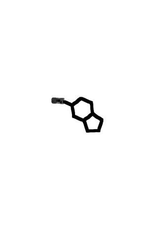 O=CC1CCC2CCCC2C1